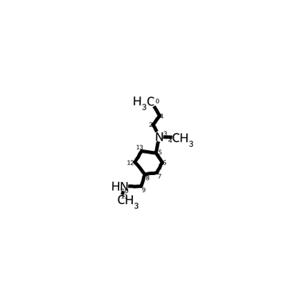 CCCN(C)C1CCC(CNC)CC1